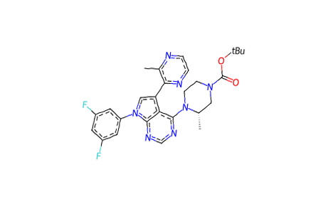 Cc1nccnc1-c1cn(-c2cc(F)cc(F)c2)c2ncnc(N3CCN(C(=O)OC(C)(C)C)C[C@@H]3C)c12